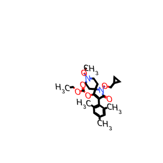 CCOC(=O)OC1=C(c2c(C)cc(C)cc2C)C(=O)N(OCC2CC2)C12CCN(OC)CC2